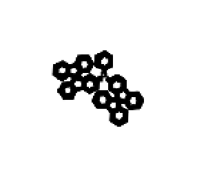 c1ccc(P(c2ccc3c(c2)C2(c4ccccc4-c4ccccc42)c2ccccc2-3)c2ccc3c(c2)C2(c4ccccc4-c4ccccc42)c2ccccc2-3)cc1